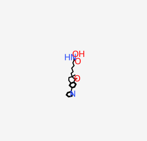 CC1(CCCCCC(=O)NO)CCc2cc(-c3ccccn3)ccc2C1=O